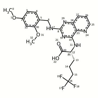 COc1ccc(CNc2nc(N[C@H](CCCC(F)(F)F)C(=O)O)c3ncccc3n2)c(OC)c1